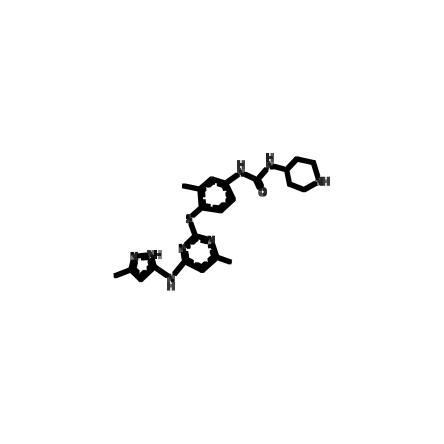 Cc1cc(Nc2cc(C)nc(Sc3ccc(NC(=O)NC4CCNCC4)cc3C)n2)[nH]n1